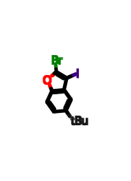 CC(C)(C)c1ccc2oc(Br)c(I)c2c1